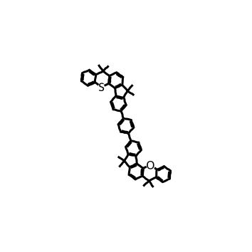 CC1(C)c2ccccc2Oc2c1ccc1c2-c2ccc(-c3ccc(-c4ccc5c(c4)C(C)(C)c4ccc6c(c4-5)Sc4ccccc4C6(C)C)cc3)cc2C1(C)C